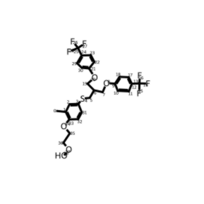 Cc1cc(SCC(COc2ccc(C(F)(F)F)cc2)COc2ccc(C(F)(F)F)cc2)ccc1OCCOO